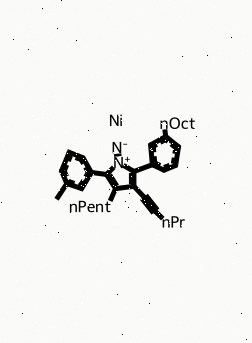 CCCC#CC1=C(c2cccc(CCCCCCCC)c2)[N+](=[N-])C(c2cccc(C)c2)=C1CCCCC.[Ni]